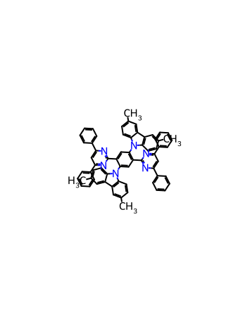 Cc1ccc2c(c1)c1cc(C)ccc1n2-c1cc(-c2nc(-c3ccccc3)cc(-c3ccccc3)n2)c(-n2c3ccc(C)cc3c3cc(C)ccc32)cc1-c1nc(-c2ccccc2)cc(-c2ccccc2)n1